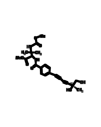 COC(=O)C(NC(=O)c1ccc(C#CC#C[C@](C)(O)CO)cc1)C(C)(C)NC(=O)OC(C)(C)C